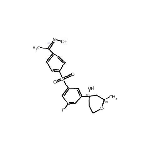 C/C(=N/O)c1ccc(S(=O)(=O)c2cc(F)cc([C@]3(O)CCO[C@@H](C)C3)c2)cc1